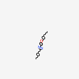 CCCCCC1CCC(COc2ccc(-c3ncc(CCC4CCC(CCC)CC4)cn3)cc2)CC1